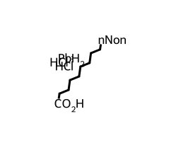 CCCCCCCCCCCCCCCCCC(=O)O.Cl.Cl.[PbH2]